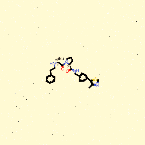 CC[C@H](C)[C@H](NCCc1ccccc1)C(=O)N1CCC[C@H]1C(=O)NCc1ccc(-c2scnc2C)cc1